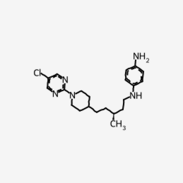 C[C@H](CCNc1ccc(N)cc1)CCC1CCN(c2ncc(Cl)cn2)CC1